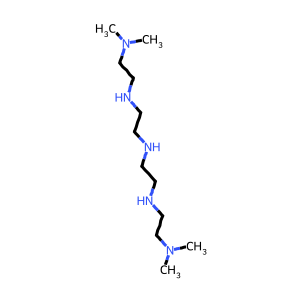 CN(C)CCNCCNCCNCCN(C)C